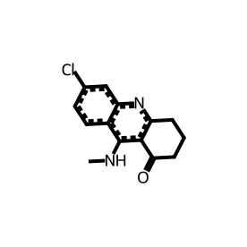 CNc1c2c(nc3cc(Cl)ccc13)CCCC2=O